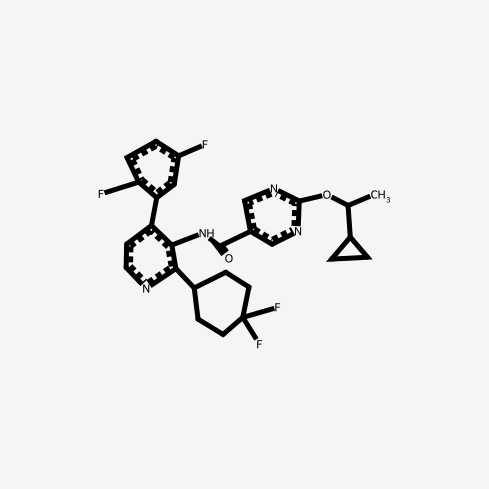 CC(Oc1ncc(C(=O)Nc2c(-c3cc(F)ccc3F)ccnc2C2CCC(F)(F)CC2)cn1)C1CC1